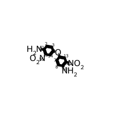 Nc1ccc(Oc2ccc(N)c([N+](=O)[O-])c2)cc1[N+](=O)[O-]